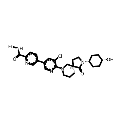 CCNC(=O)c1ccc(-c2cnc(N3CCC[C@@]4(CCN([C@H]5CC[C@@H](O)CC5)C4=O)C3)c(Cl)c2)cn1